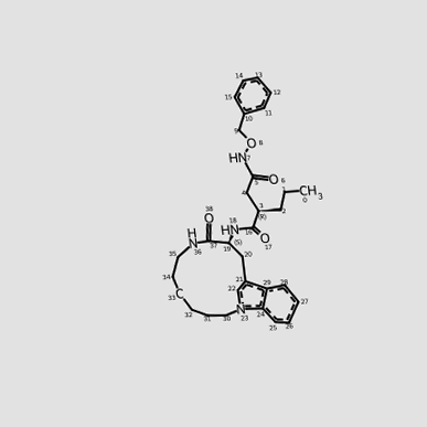 CCC[C@H](CC(=O)NOCc1ccccc1)C(=O)N[C@H]1Cc2cn(c3ccccc23)CCCCCCNC1=O